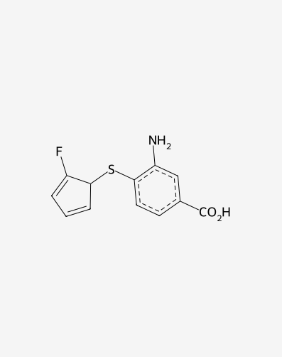 Nc1cc(C(=O)O)ccc1SC1C=CC=C1F